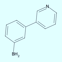 Bc1cccc(-c2cccnc2)c1